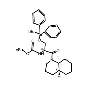 CCCCOC(=O)N[C@H](CO[Si](c1ccccc1)(c1ccccc1)C(C)(C)C)C(=O)N1CCC[C@H]2CCCC[C@@H]21